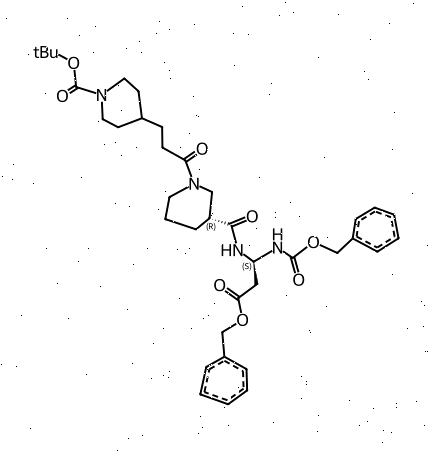 CC(C)(C)OC(=O)N1CCC(CCC(=O)N2CCC[C@@H](C(=O)N[C@H](CC(=O)OCc3ccccc3)NC(=O)OCc3ccccc3)C2)CC1